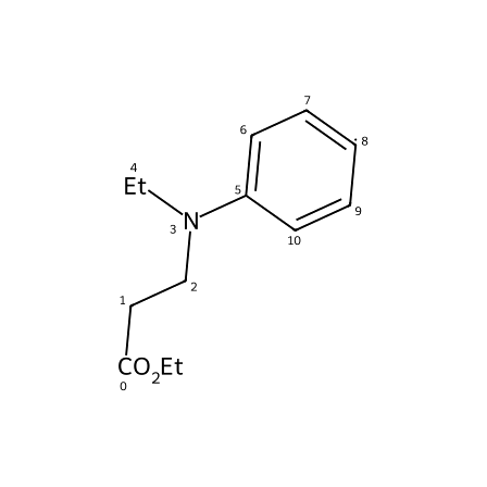 CCOC(=O)CCN(CC)c1cc[c]cc1